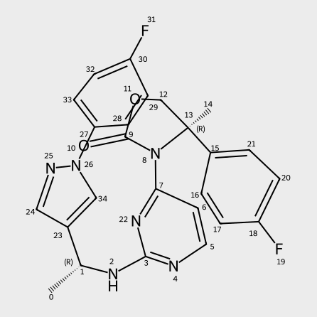 C[C@@H](Nc1nccc(N2C(=O)OC[C@@]2(C)c2ccc(F)cc2)n1)c1cnn(-c2ccc(F)cc2)c1